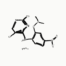 CP(C)Oc1cc([N+](=O)[O-])ccc1Nc1nc(Cl)ncc1Cl.P